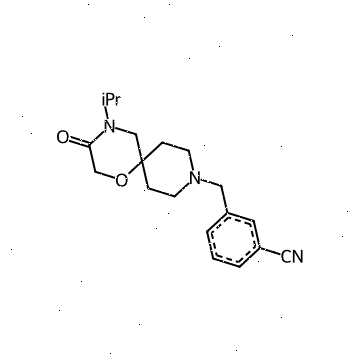 CC(C)N1CC2(CCN(Cc3cccc(C#N)c3)CC2)OCC1=O